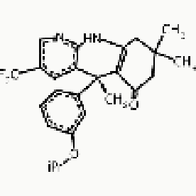 CC(C)Oc1cccc([C@@]2(C)C3=C(CC(C)(C)CC3=O)Nc3ncc(C(F)(F)F)cc32)c1